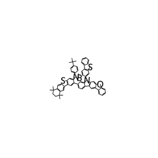 CC(C)(C)c1ccc(N2B3c4cc5c(cc4-n4c6cc7oc8ccccc8c7cc6c6ccc(c3c64)-c3cc4c(cc32)sc2cc3c(cc24)C(C)(C)CCC3(C)C)sc2ccccc25)cc1